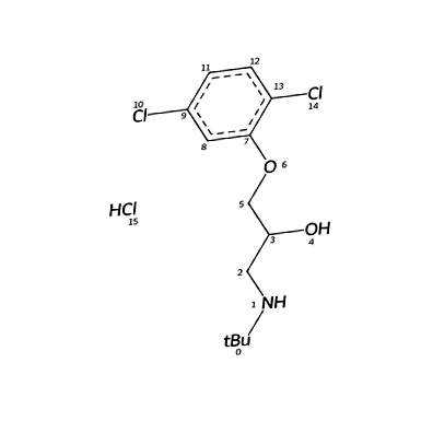 CC(C)(C)NCC(O)COc1cc(Cl)ccc1Cl.Cl